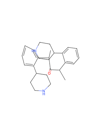 CC(C(=O)C(C)c1ccccc1C1CCNCC1)c1ccccc1C1CCNCC1